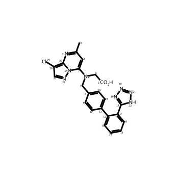 Cc1cc(N(CC(=O)O)Cc2ccc(-c3ccccc3-c3nnn[nH]3)cc2)n2ncc(Cl)c2n1